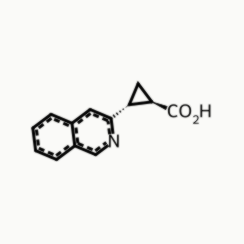 O=C(O)[C@@H]1C[C@H]1c1cc2ccccc2cn1